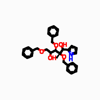 C[C@](OCc1ccccc1)(C(O)c1ccc[nH]1)[C@H](OCc1ccccc1)C(O)COCc1ccccc1